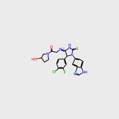 O=C(C/N=C1/NC(=S)N(c2ccc3[nH]cnc3c2)C1c1ccc(Cl)c(F)c1)N1CCC(O)C1